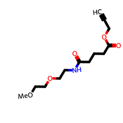 C#CCOC(=O)CCCC(=O)NCCOCCOC